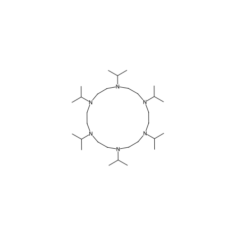 CC(C)N1CCN(C(C)C)CCN(C(C)C)CCN(C(C)C)CCN(C(C)C)CCN(C(C)C)CC1